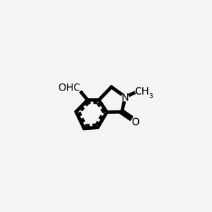 CN1Cc2c(C=O)cccc2C1=O